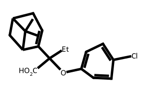 CCC(Oc1ccc(Cl)cc1)(C(=O)O)C1=CCC2CC1C2(C)C